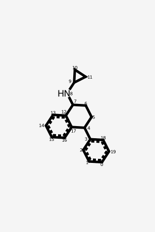 c1ccc(C2CCC(NC3CC3)c3ccccc32)cc1